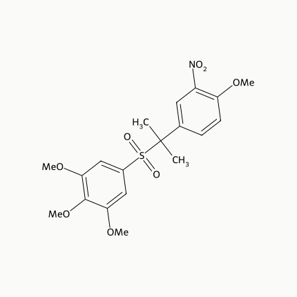 COc1ccc(C(C)(C)S(=O)(=O)c2cc(OC)c(OC)c(OC)c2)cc1[N+](=O)[O-]